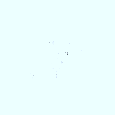 C=Cc1ccc(N2C[C@@H](CO)Oc3c(-c4nc5c(Cl)cc(C(F)(F)F)cc5[nH]4)cccc32)nc1